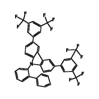 FC(F)(F)c1cc(-c2ccc3c(c2)c2cc(-c4cc(C(F)(F)F)cc(C(F)(F)F)c4)ccc2n3-c2ccccc2-c2ccccc2)cc(C(F)(F)F)c1